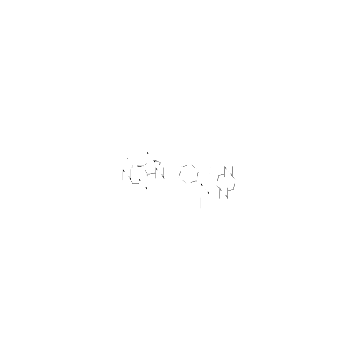 Ic1ncnc2c1ncn2Cc1ccc2c(c1)Nc1nccnc1S2